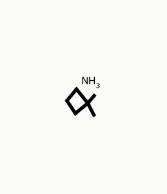 CC1(C)CCC1.N